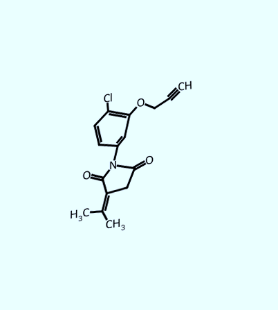 C#CCOc1cc(N2C(=O)CC(=C(C)C)C2=O)ccc1Cl